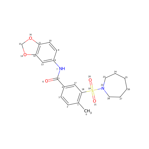 Cc1ccc(C(=O)Nc2ccc3c(c2)OCO3)cc1S(=O)(=O)N1CCCCCC1